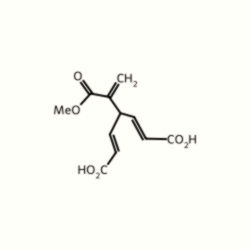 C=C(C(=O)OC)C(C=CC(=O)O)C=CC(=O)O